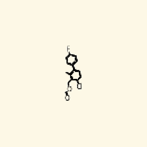 Cc1c(-c2ccc(F)cc2)ccc(Cl)c1COC=O